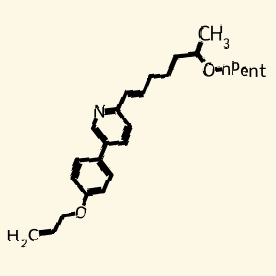 C=CCOc1ccc(-c2ccc(C=CCCCC(C)OCCCCC)nc2)cc1